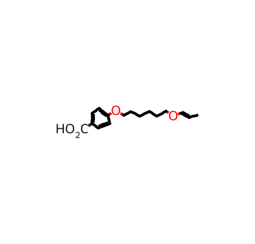 CC=COCCCCCCOc1ccc(C(=O)O)cc1